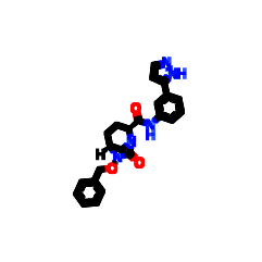 O=C(Nc1cccc(-c2ccn[nH]2)c1)[C@@H]1CC[C@H]2CN1C(=O)N2OCc1ccccc1